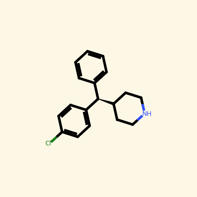 Clc1ccc([C@@H](c2ccccc2)C2CCNCC2)cc1